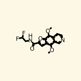 COc1c2cnccc2c(OC)c2oc(C(=O)NCC(F)F)cc12